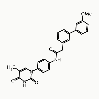 COc1cccc(-c2cccc(CC(=O)Nc3ccc(-n4cc(C)c(=O)[nH]c4=O)cc3)c2)c1